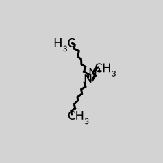 CCCCCCCCCCn1cc[n+](CC)c1CCCCCCCCC